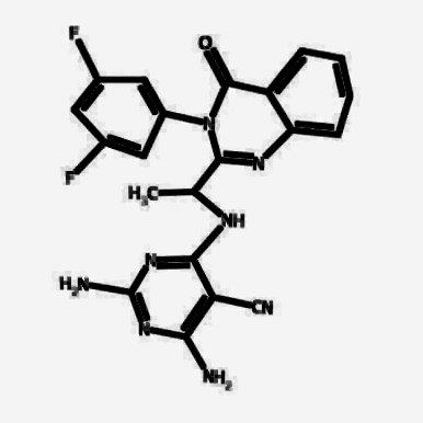 CC(Nc1nc(N)nc(N)c1C#N)c1nc2ccccc2c(=O)n1-c1cc(F)cc(F)c1